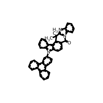 CC1(C)c2c(ccc3c2c2ccccc2n3-c2ccc3c4ccccc4c4ccccc4c3c2)C(=O)n2c1nc1ccccc12